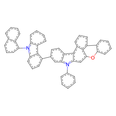 c1ccc(-n2c3cc(-c4cccc5c4c4ccccc4n5-c4cccc5ccccc45)ccc3c3c4cccc5c4c(cc32)Oc2ccccc2-5)cc1